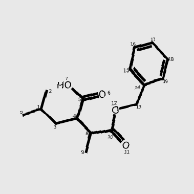 CC(C)CC(C(=O)O)C(C)C(=O)OCc1ccccc1